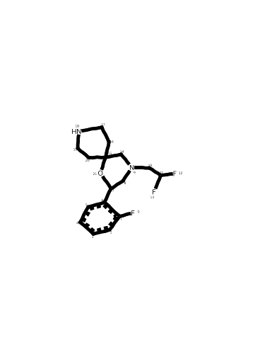 Fc1ccccc1C1CN(CC(F)F)CC2(CCNCC2)O1